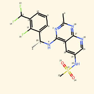 Cc1nc(N[C@H](C)c2cccc(C(F)F)c2F)c2cc(NS(C)(=O)=O)cnc2n1